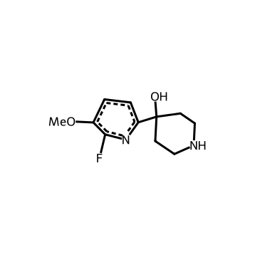 COc1ccc(C2(O)CCNCC2)nc1F